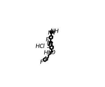 Cl.O=C(NCCCN1CCC(F)CC1)c1ccc2c(c1)sc1nc(-c3ccc(-c4nc[nH]n4)cc3F)cn12